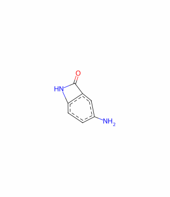 Nc1ccc2c(c1)C(=O)N2